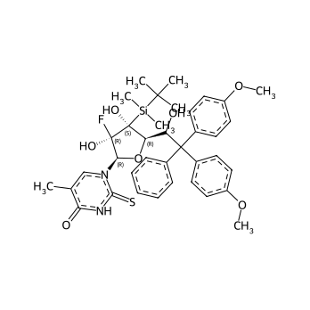 COc1ccc(C(c2ccccc2)(c2ccc(OC)cc2)C(O)[C@H]2O[C@@H](n3cc(C)c(=O)[nH]c3=S)[C@@](O)(F)[C@@]2(O)[Si](C)(C)C(C)(C)C)cc1